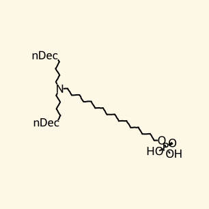 CCCCCCCCCCCCCCN(CCCCCCCCCCCCCC)CCCCCCCCCCCCCCCCOP(=O)(O)O